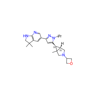 CC(C)n1nc(-c2cnc3c(c2)C(C)(C)CN3)cc1[C@H]1[C@@H]2CN(C3COC3)CC21C